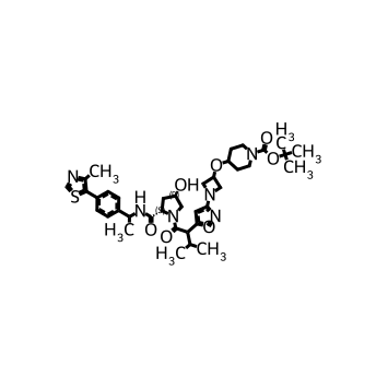 Cc1ncsc1-c1ccc(C(C)NC(=O)[C@@H]2C[C@@H](O)CN2C(=O)C(c2cc(N3CC(OC4CCN(C(=O)OC(C)(C)C)CC4)C3)no2)C(C)C)cc1